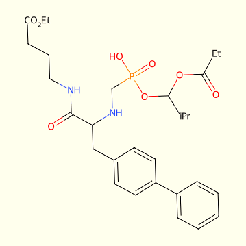 CCOC(=O)CCCNC(=O)C(Cc1ccc(-c2ccccc2)cc1)NCP(=O)(O)OC(OC(=O)CC)C(C)C